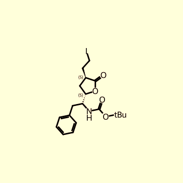 CC(C)(C)OC(=O)NC(Cc1ccccc1)[C@@H]1C[C@@H](CCI)C(=O)O1